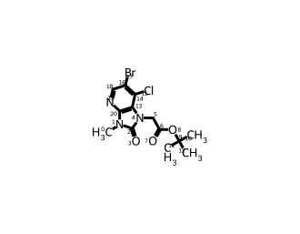 Cn1c(=O)n(CC(=O)OC(C)(C)C)c2c(Cl)c(Br)cnc21